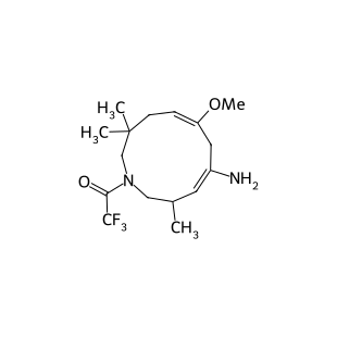 CO/C1=C/CC(C)(C)CN(C(=O)C(F)(F)F)CC(C)/C=C(/N)C1